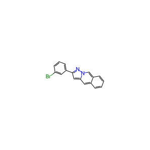 Brc1cccc(-c2cc3cc4ccccc4cn3n2)c1